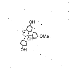 COc1ccc(C2(O)c3ccc(O)cc3OCC2c2ccc(O)cc2)cc1